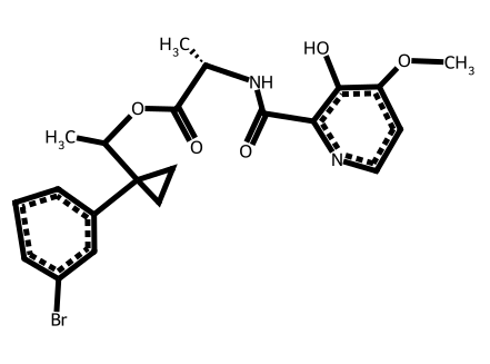 COc1ccnc(C(=O)N[C@@H](C)C(=O)OC(C)C2(c3cccc(Br)c3)CC2)c1O